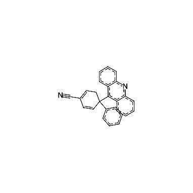 N#CC1=CCC(c2ccccc2)(c2c3ccccc3nc3ccccc23)C=C1